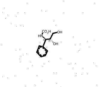 O=C(O)N[C@H](c1ccccc1)[C@@H](O)CO